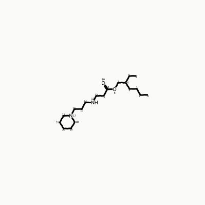 CCCCC(CC)COC(=O)CCNCCCN1CCCCC1